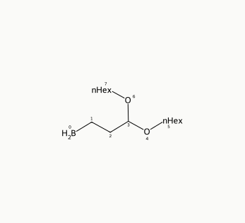 BCCC(OCCCCCC)OCCCCCC